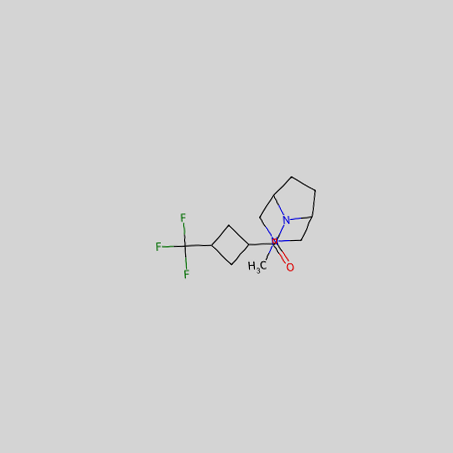 CN1CC2CCC(C1)N2C(=O)C1CC(C(F)(F)F)C1